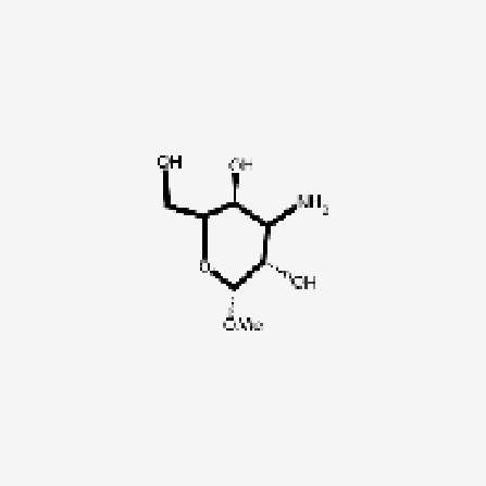 CO[C@@H]1OC(CO)[C@@H](O)C(N)[C@@H]1O